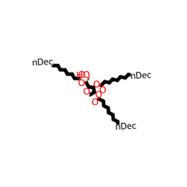 CCCCCCCCCCCCCCCCCC(=O)O[C@H]1[C@@H]([C@@H](CO)OC(=O)CCCCCCCCCCCCCCCCC)OC[C@@H]1OC(=O)CCCCCCCCCCCCCCCCC